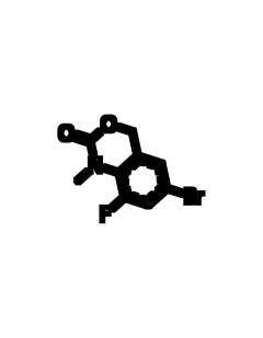 CN1C(=O)OCc2cc(Br)cc(F)c21